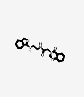 O=C(Cn1cnc2ccccc2c1=O)NCCNC1=NCc2ccccc21